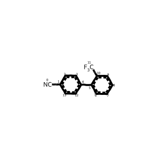 N#Cc1ccc(-c2[c]cccc2C(F)(F)F)cc1